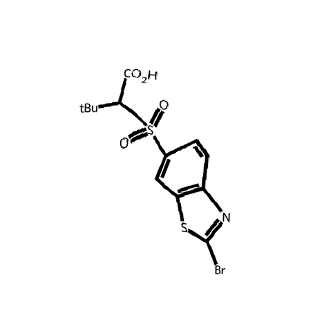 CC(C)(C)C(C(=O)O)S(=O)(=O)c1ccc2nc(Br)sc2c1